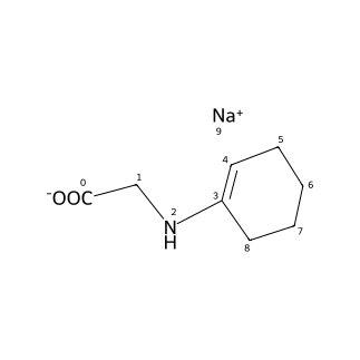 O=C([O-])CNC1=CCCCC1.[Na+]